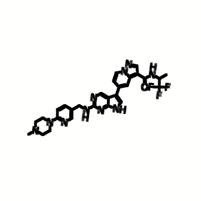 CC(NC(=O)c1cnn2ccc(-c3c[nH]c4nc(NCc5ccc(N6CCN(C)CC6)nc5)ncc34)cc12)C(F)(F)F